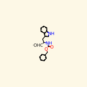 O=[C]C(Cc1c[nH]c2ccccc12)NC(=O)OCc1ccccc1